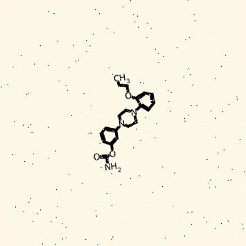 CCCOc1ccccc1N1CCN(c2cccc(OC(N)=O)c2)CC1